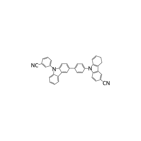 N#Cc1cccc(-n2c3ccccc3c3cc(-c4ccc(-n5c6c(c7cc(C#N)ccc75)CCC=C6)cc4)ccc32)c1